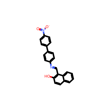 O=[N+]([O-])c1ccc(-c2ccc(N=Cc3c(O)ccc4ccccc34)cc2)cc1